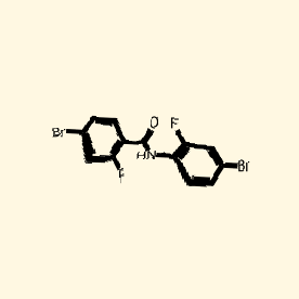 O=C(Nc1ccc(Br)cc1F)c1ccc(Br)cc1F